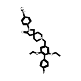 [C-]#[N+]c1ccc(N2CC3(CCN(Cc4cc(OCC)c(-c5ccc(F)cc5)c(OCC)c4)CC3)CC2=O)cc1